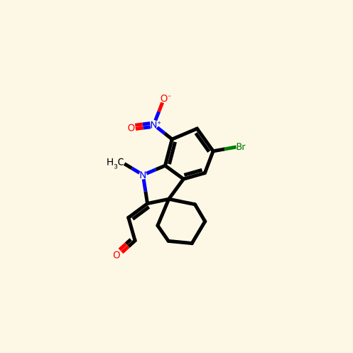 CN1/C(=C/C=O)C2(CCCCC2)c2cc(Br)cc([N+](=O)[O-])c21